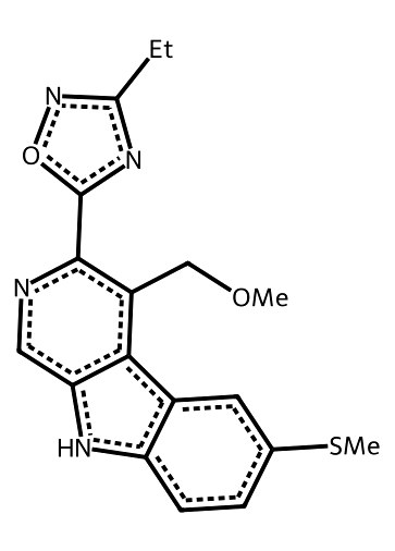 CCc1noc(-c2ncc3[nH]c4ccc(SC)cc4c3c2COC)n1